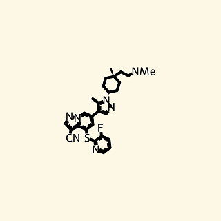 CNCC[C@]1(C)CC[C@H](n2ncc(-c3cc(Sc4ncccc4F)c4c(C#N)cnn4c3)c2C)CC1